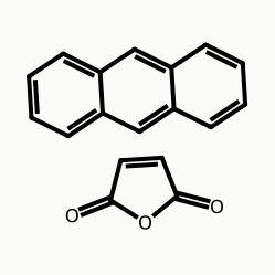 O=C1C=CC(=O)O1.c1ccc2cc3ccccc3cc2c1